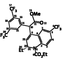 CCOC(=O)N1c2ccc(C(F)(F)F)cc2C(C(C(=O)OC)c2cc(C(F)(F)F)cc(C(F)(F)F)c2)=C[C@H]1CC